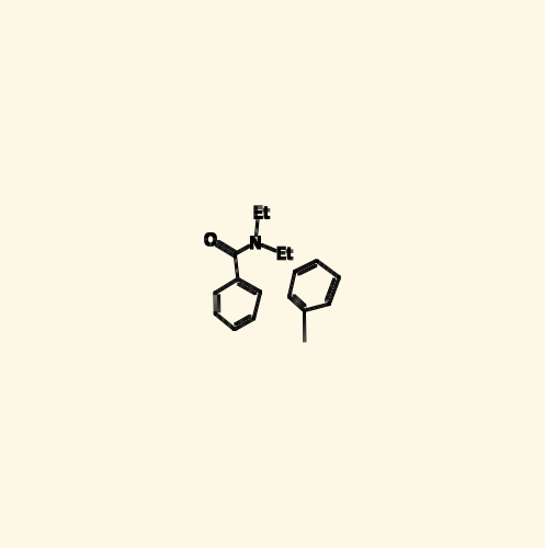 CCN(CC)C(=O)c1ccccc1.Cc1ccccc1